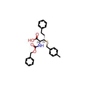 Cc1ccc(CS[C@@H](CCc2ccccc2)[C@@H](NC(=O)OCc2ccccc2)C(=O)O)cc1